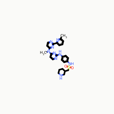 Cc1cccc(-c2nccc(N(C)c3ccnc(Nc4ccc(NS(=O)(=O)CC5CCCNC5)cc4)n3)n2)n1